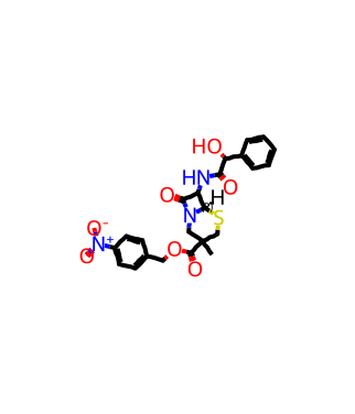 CC1(C(=O)OCc2ccc([N+](=O)[O-])cc2)CS[C@@H]2C(NC(=O)C(O)c3ccccc3)C(=O)N2C1